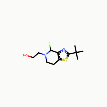 CC(C)(C)c1nc2c(s1)CCN(CCO)C2F